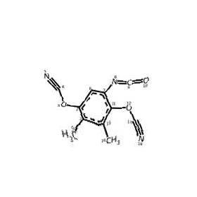 Cc1c(OC#N)cc(N=C=O)c(OC#N)c1C